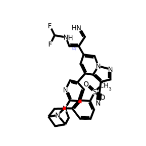 CS(=O)(=O)c1cccc(CN2C3CC2CN(c2ccc(-c4cc(/C(C=N)=C/NC(F)F)cn5ncc(C#N)c45)cn2)C3)c1